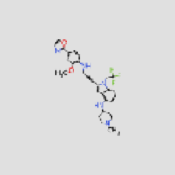 COc1cc(-c2ncco2)ccc1NCC#Cc1cc2c(NC3CCN(C)CC3)cccc2n1CC(F)(F)F